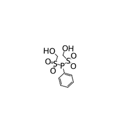 O=S(=O)(CO)P(c1ccccc1)S(=O)(=O)CO